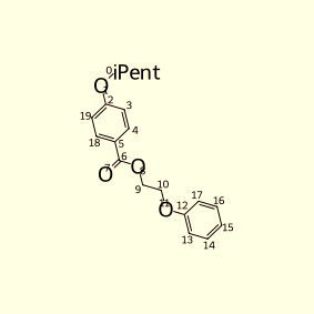 CCCC(C)Oc1ccc(C(=O)OCCOc2ccccc2)cc1